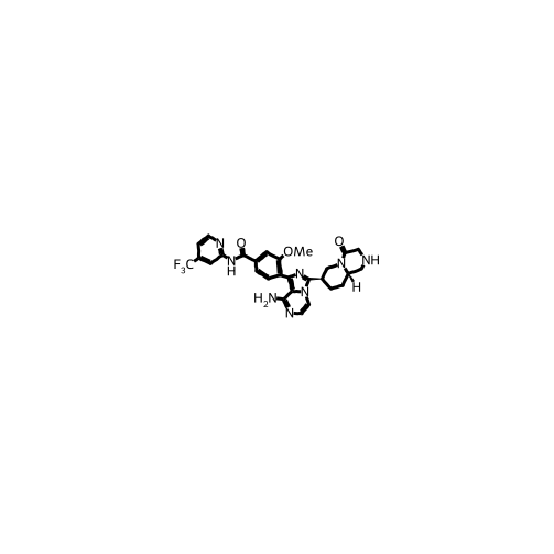 COc1cc(C(=O)Nc2cc(C(F)(F)F)ccn2)ccc1-c1nc([C@@H]2CC[C@H]3CNCC(=O)N3C2)n2ccnc(N)c12